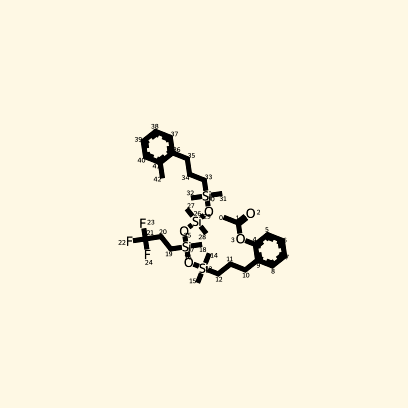 CC(=O)Oc1ccccc1CCC[Si](C)(C)O[Si](C)(CCC(F)(F)F)O[Si](C)(C)O[Si](C)(C)CCCc1ccccc1C